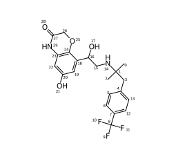 CC(C)(Cc1ccc(C(F)(F)F)cc1)NCC(O)c1cc(O)cc2c1OCC(=O)N2